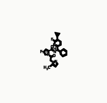 Cc1ccnn1CC(=O)N1C[C@H](F)C[C@H]1C(=O)N[C@@H](c1ccccc1)c1ccc(C2CC2)c(F)n1